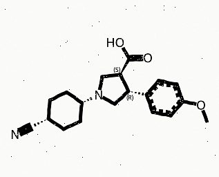 COc1ccc([C@@H]2CN([C@H]3CC[C@@H](C#N)CC3)C[C@H]2C(=O)O)cc1